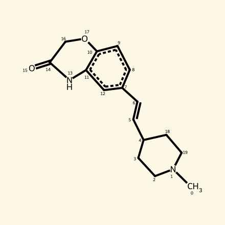 CN1CCC(C=Cc2ccc3c(c2)NC(=O)CO3)CC1